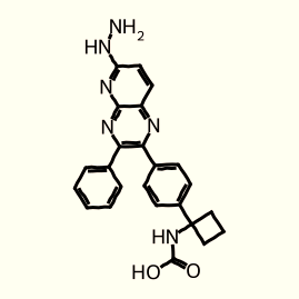 NNc1ccc2nc(-c3ccc(C4(NC(=O)O)CCC4)cc3)c(-c3ccccc3)nc2n1